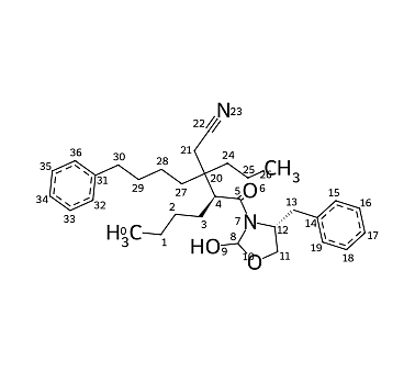 CCCC[C@H](C(=O)N1C(O)OC[C@H]1Cc1ccccc1)C(CC#N)(CCC)CCCCc1ccccc1